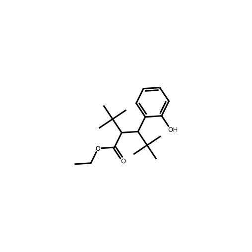 CCOC(=O)C(C(c1ccccc1O)C(C)(C)C)C(C)(C)C